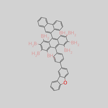 Bc1c(B)c(B)c2c(-c3cc4ccccc4c4ccccc34)c3c(B)c(B)c(B)c(B)c3c(-c3ccc(-c4ccc5oc6ccccc6c5c4)cc3)c2c1B